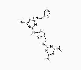 CNc1nc(NCc2cccs2)nc(N(C)c2ccc(CNc3nc(N(C)C)nc(N(C)C)n3)s2)n1